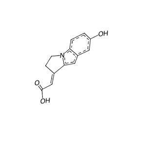 O=C(O)C=C1CCn2c1cc1cc(O)ccc12